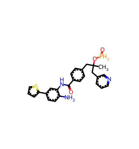 CC(Cc1ccc(C(=O)Nc2cc(-c3cccs3)ccc2N)cc1)(Cc1cccnc1)O[PH2]=O